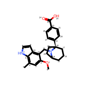 COc1cc(C)c2[nH]ccc2c1CN1C2CCC[C@@]1(c1ccc(C(=O)O)cc1)CC2